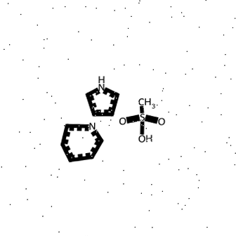 CS(=O)(=O)O.c1cc[nH]c1.c1ccncc1